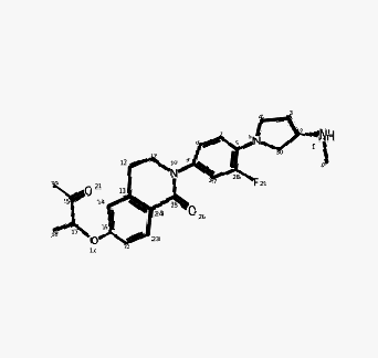 CN[C@@H]1CCN(c2ccc(N3CCc4cc(OC(C)C(C)=O)ccc4C3=O)cc2F)C1